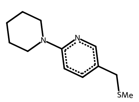 CSCc1ccc(N2CCCCC2)nc1